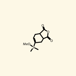 CO[Si](C)(C)C1=CCC2C(=O)OC(=O)C2C1